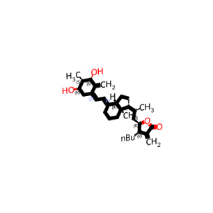 C=C1/C(=C\C=C2/CCC[C@]3(C)[C@@H]([C@H](C)C[C@H]4OC(=O)C(=C)[C@H]4CCCC)CC[C@@H]23)C[C@@H](O)[C@H](C)[C@@H]1O